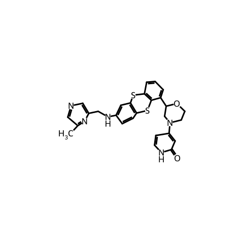 Cc1cncc(CNc2ccc3c(c2)Sc2cccc(C4CN(c5cc[nH]c(=O)c5)CCO4)c2S3)n1